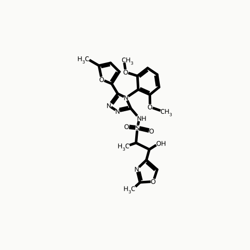 COc1cccc(OC)c1-n1c(NS(=O)(=O)C(C)C(O)c2coc(C)n2)nnc1-c1ccc(C)o1